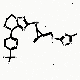 C=C1/C(=C\Nc2nc(C)no2)C1Nc1nc2n(n1)CCCC2c1ccc(C(F)(F)F)cc1